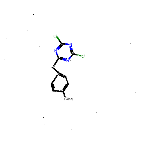 COc1ccc([CH]c2nc(Cl)nc(Cl)n2)cc1